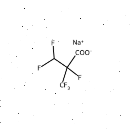 O=C([O-])C(F)(C(F)F)C(F)(F)F.[Na+]